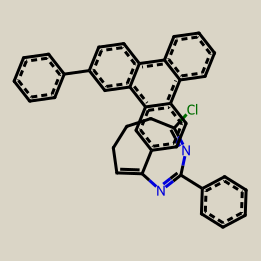 Cl/C1=N/C(c2ccccc2)=N\C(c2ccc3c4ccccc4c4ccc(-c5ccccc5)cc4c3c2)=C\CCC1